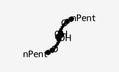 CCCCCC1CCC(c2ccc(OCCCCCCc3ccc4c(-c5c(O)ccc6cc(CCCCCCOc7ccc(C8CCC(CCCCC)CC8)cc7)ccc56)c(O)ccc4c3)cc2)CC1